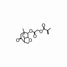 C=C(C)C(=O)OCC(=O)OC1C2OCC3C(=O)CC1(C)CC32